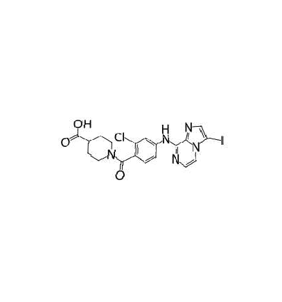 O=C(O)C1CCN(C(=O)c2ccc(Nc3nccn4c(I)cnc34)cc2Cl)CC1